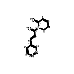 O=C1C=CCCN1C(=O)C=Cc1ccnnc1